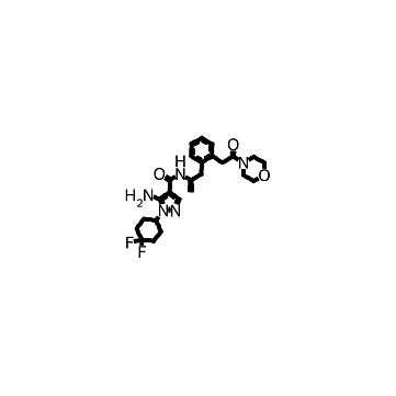 C=C(Cc1ccccc1CC(=O)N1CCOCC1)NC(=O)c1cnn(C2CCC(F)(F)CC2)c1N